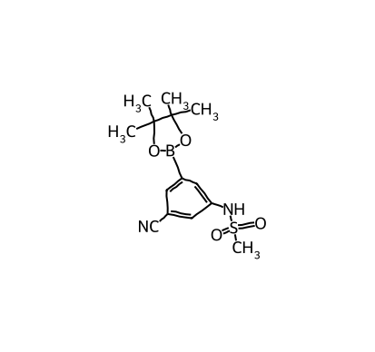 CC1(C)OB(c2cc(C#N)cc(NS(C)(=O)=O)c2)OC1(C)C